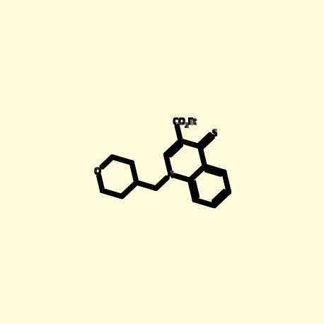 CCOC(=O)c1cn(CC2CCOCC2)c2ccccc2c1=S